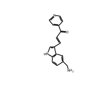 NCc1ccc2[nH]cc(C=CC(=O)c3ccncc3)c2c1